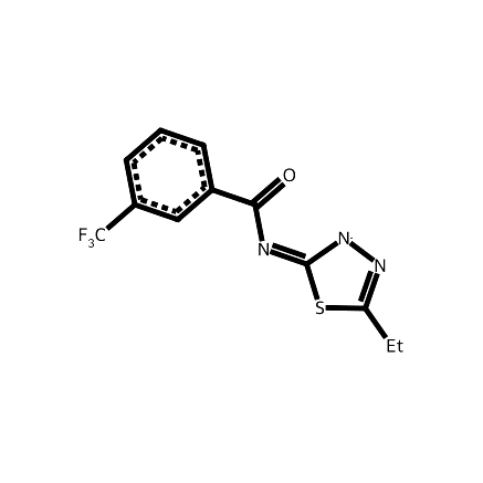 CCC1=N[N]C(=NC(=O)c2cccc(C(F)(F)F)c2)S1